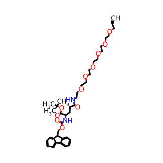 C#CCOCCOCCOCCOCCOCCOCCNC(=O)CCC(NC(=O)OCC1c2ccccc2-c2ccccc21)C(=O)OC(C)(C)C